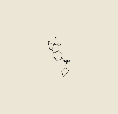 FC1(F)Oc2ccc(NC3CCC3)cc2O1